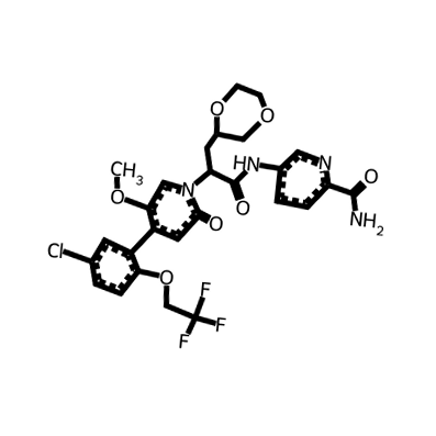 COc1cn(C(CC2COCCO2)C(=O)Nc2ccc(C(N)=O)nc2)c(=O)cc1-c1cc(Cl)ccc1OCC(F)(F)F